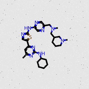 Cc1cc(-c2cnc(Nc3cnc(CN(C)CC4CCCN(C)C4)cn3)s2)nc(NC2CCCCC2)n1